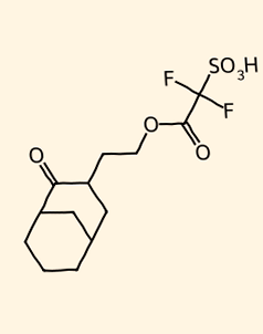 O=C1C2CCCC(C2)CC1CCOC(=O)C(F)(F)S(=O)(=O)O